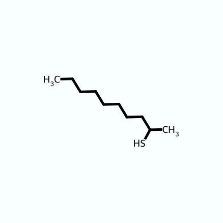 CCCCCCCCC(C)S